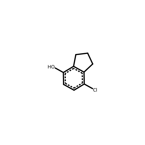 Oc1ccc(Cl)c2c1CCC2